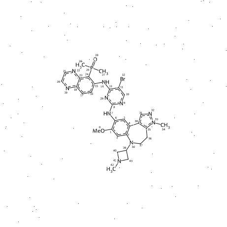 COc1cc2c(cc1Nc1ncc(Br)c(Nc3ccc4nccnc4c3P(C)(C)=O)n1)-c1cnn(C)c1CCN2C1CN(C)C1